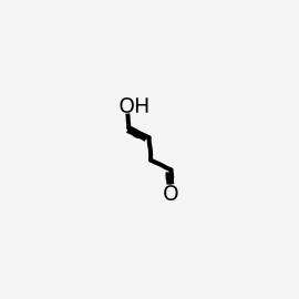 O=CCC=CO